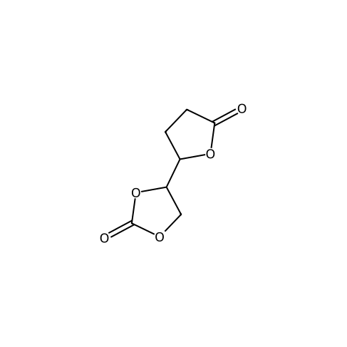 O=C1CCC(C2COC(=O)O2)O1